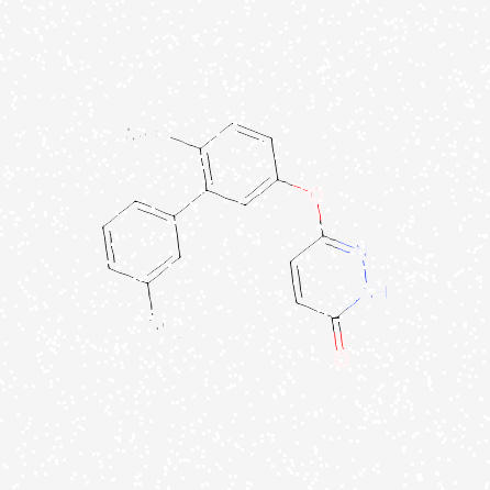 COc1ccc(Oc2ccc(=O)[nH]n2)cc1-c1cccc([N+](=O)[O-])c1